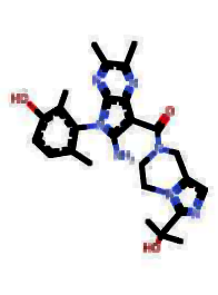 Cc1ccc(O)c(C)c1-n1c(N)c(C(=O)N2CCn3c(cnc3C(C)(C)O)C2)c2nc(C)c(C)nc21